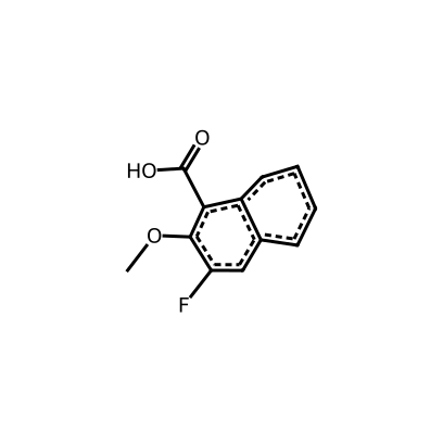 COc1c(F)cc2ccccc2c1C(=O)O